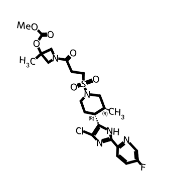 COC(=O)OC1(C)CN(C(=O)CCS(=O)(=O)N2CC[C@@H](c3[nH]c(-c4ccc(F)cn4)nc3Cl)[C@@H](C)C2)C1